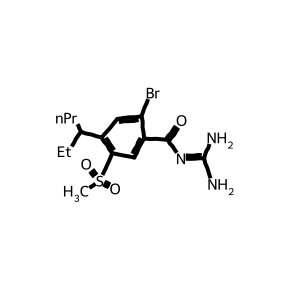 CCCC(CC)c1cc(Br)c(C(=O)N=C(N)N)cc1S(C)(=O)=O